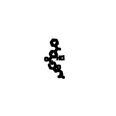 CC(c1ccccc1)c1ccc(C(=O)N2CCc3cc(CN(C)C)oc3C2)cc1.Cl